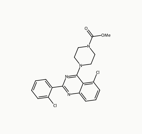 COC(=O)N1CCN(c2nc(-c3ccccc3Cl)nc3cccc(Cl)c23)CC1